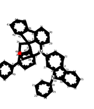 c1ccc(-c2ccc(N(c3ccc4c5ccccc5n(-c5ccccc5)c4c3)c3cccc4c3C3(CC5CCC3C5)c3ccccc3-4)cc2)cc1